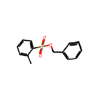 Cc1ccccc1S(=O)(=O)OCc1ccccc1